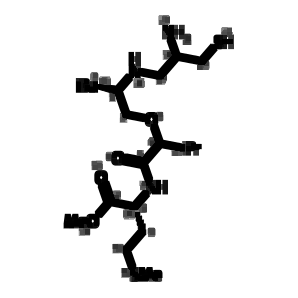 CC[C@H](C)C(COC(C(=O)N[C@H](CCSC)C(=O)OC)C(C)C)NCC(N)CS